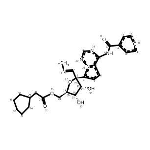 CN=C[C@@]1(c2ccc3c(NC(=O)c4ccccc4)ncnn23)O[C@H](COC(=O)CC2CCCCC2)[C@@H](O)[C@H]1O